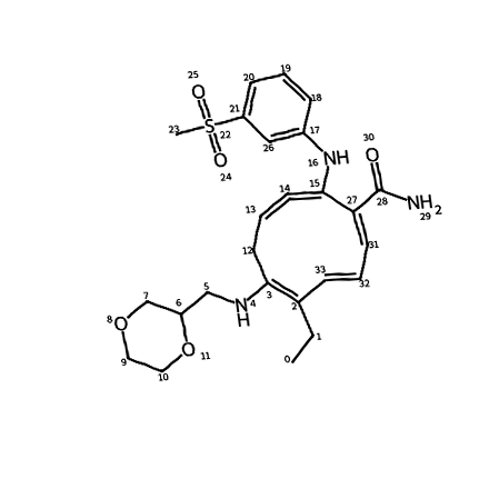 CCC1=C(/NCC2COCCO2)CC=C=C(Nc2cccc(S(C)(=O)=O)c2)\C(C(N)=O)=C/C=C/1